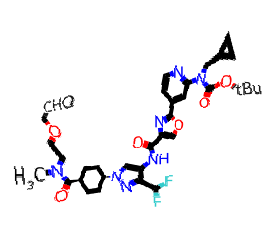 CN(CCOCC=O)C(=O)[C@H]1CC[C@H](n2cc(NC(=O)c3coc(-c4ccnc(N(CC5CC5)C(=O)OC(C)(C)C)c4)n3)c(C(F)F)n2)CC1